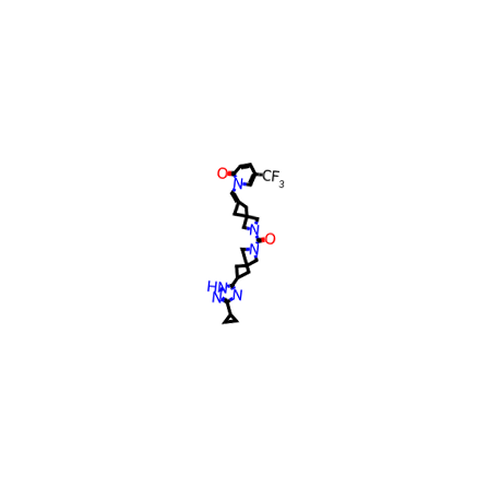 O=C(N1CC2(CC(=Cn3cc(C(F)(F)F)ccc3=O)C2)C1)N1CC2(CC(c3nc(C4CC4)n[nH]3)C2)C1